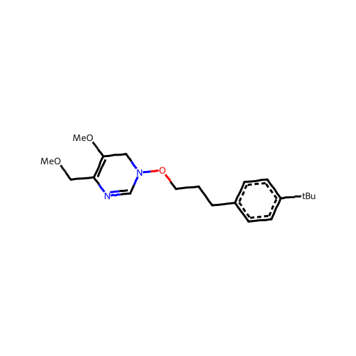 COCC1=C(OC)CN(OCCCc2ccc(C(C)(C)C)cc2)C=N1